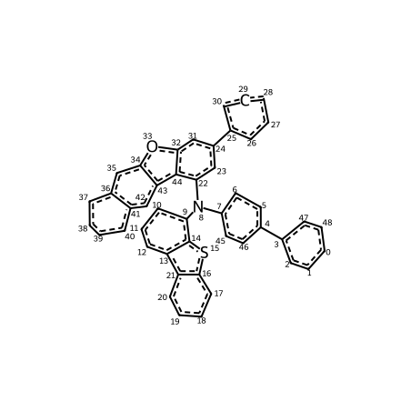 c1ccc(-c2ccc(N(c3cccc4c3sc3ccccc34)c3cc(-c4ccccc4)cc4oc5cc6ccccc6cc5c34)cc2)cc1